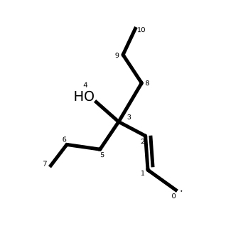 [CH2]/C=C/C(O)(CCC)CCC